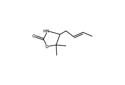 CC=CCC1NC(=O)OC1(C)C